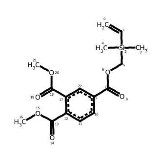 C=C[Si](C)(C)COC(=O)c1ccc(C(=O)OC)c(C(=O)OC)c1